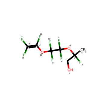 OCC(F)(OC(F)(F)C(F)(F)OC(F)=C(F)F)C(F)(F)F